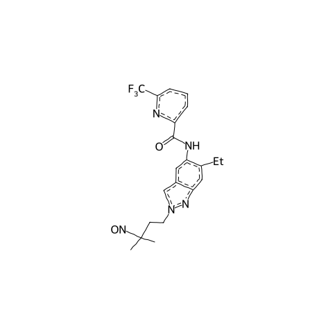 CCc1cc2nn(CCC(C)(C)N=O)cc2cc1NC(=O)c1cccc(C(F)(F)F)n1